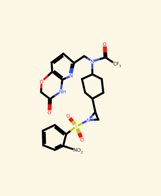 O=C1COc2ccc(CN(C(=O)C(F)(F)F)C3CCC(C4CN4S(=O)(=O)c4ccccc4[N+](=O)[O-])CC3)nc2N1